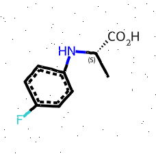 C[C@H](Nc1ccc(F)cc1)C(=O)O